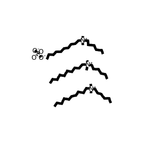 CCCCCCCCCC[N+](C)(C)CCCCCC.CCCCCCCCCC[N+](C)(C)CCCCCC.CCCCCCCCCC[N+](C)(C)CCCCCC.O=P([O-])([O-])[O-]